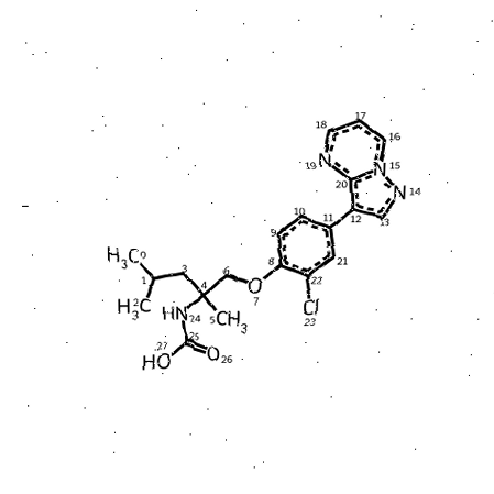 CC(C)CC(C)(COc1ccc(-c2cnn3cccnc23)cc1Cl)NC(=O)O